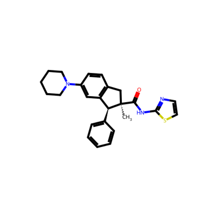 C[C@@]1(C(=O)Nc2nccs2)Cc2ccc(N3CCCCC3)cc2[C@@H]1c1ccccc1